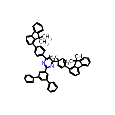 CC1(c2cc(-c3ccc(-c4cccc5c4C(C)(C)c4ccccc4-5)cc3)nc(-c3cc(-c4ccccc4)cc(-c4ccccc4)c3)n2)C=CC(c2cccc3c2C(C)(C)c2ccccc2-3)=CC1